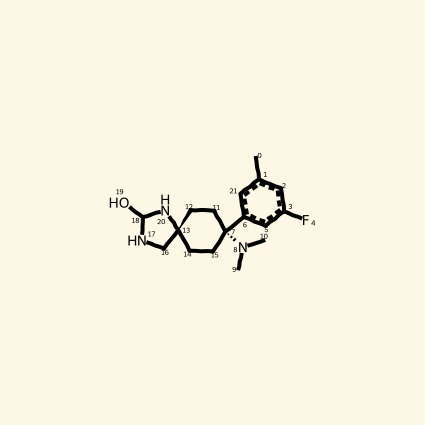 Cc1cc(F)cc([C@]2(N(C)C)CC[C@@]3(CC2)CNC(O)N3)c1